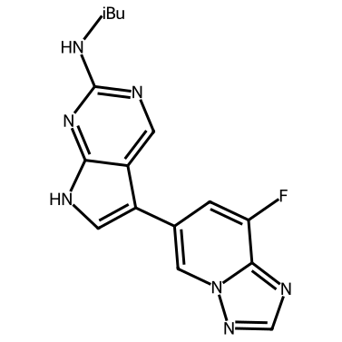 CCC(C)Nc1ncc2c(-c3cc(F)c4ncnn4c3)c[nH]c2n1